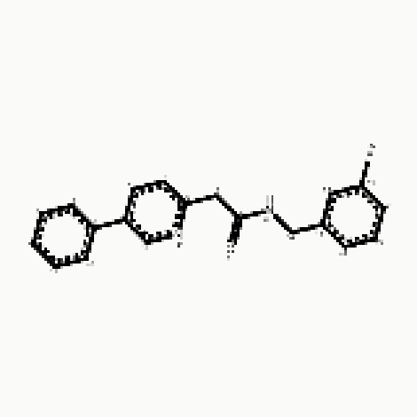 O=C(Cc1ccc(-c2ccccc2)cn1)NCc1cccc(F)c1